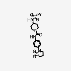 CC(C)S(=O)(=O)NC1CCN(C(=O)Nc2ccc(N3CCCS3(=O)=O)cc2)CC1